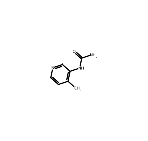 Cc1ccn[c]c1NC(N)=O